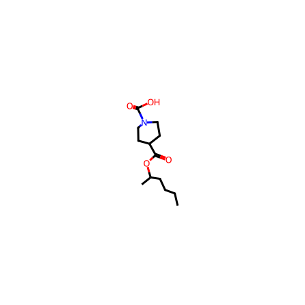 CCCCC(C)OC(=O)C1CCN(C(=O)O)CC1